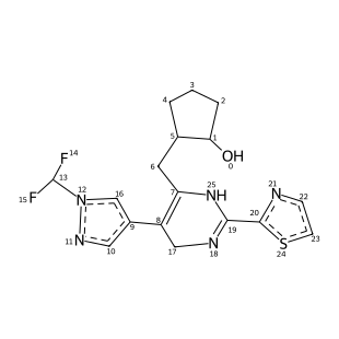 OC1CCCC1CC1=C(c2cnn(C(F)F)c2)CN=C(c2nccs2)N1